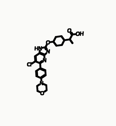 CC(C(=O)O)C1CCC(Oc2nc3nc(-c4ccc(N5CCOCC5)cc4)c(Cl)cc3[nH]2)CC1